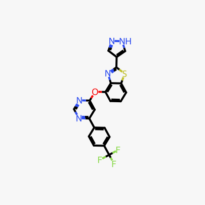 FC(F)(F)c1ccc(-c2cc(Oc3cccc4sc(-c5cn[nH]c5)nc34)ncn2)cc1